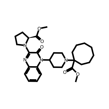 COC(=O)[C@@H]1CCCN1c1nc2ccccc2n(C2CCN(C3(C(=O)OC)CCCCCCC3)CC2)c1=O